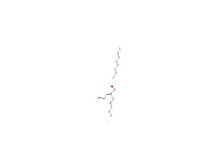 CCCCCCCCCOC(=O)CC(CCCBr)CCCCCC